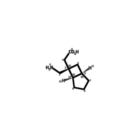 NC[C@@]1(CC(=O)O)C[C@H]2CCC[C@H]21